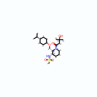 CC(C)[C@H]1CC[C@@H](OC[C@H]2[C@@H](NS(C)(=O)=O)CCCN2C(=O)CC(C)(C)O)CC1